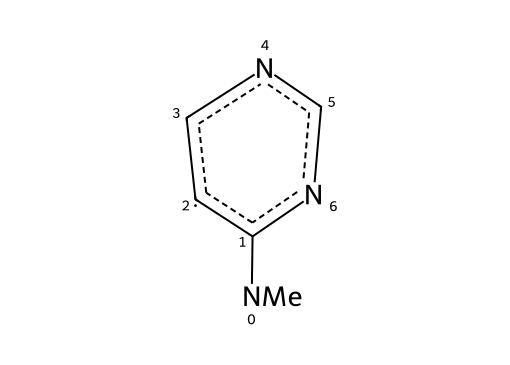 CNc1[c]cncn1